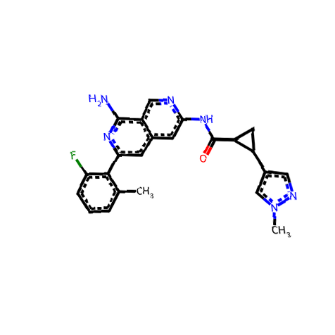 Cc1cccc(F)c1-c1cc2cc(NC(=O)C3CC3c3cnn(C)c3)ncc2c(N)n1